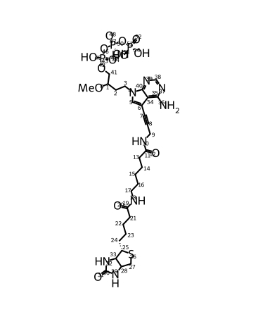 COC(CCn1cc(C#CCNC(=O)CCCCCNC(=O)CCCC[C@@H]2SCC3NC(=O)NC32)c2c(N)ncnc21)COP(=O)(O)OP(=O)(O)OP(=O)(O)O